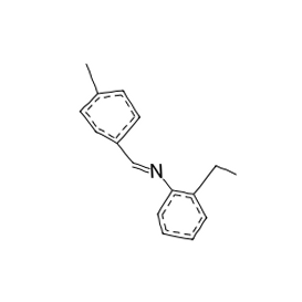 CCc1ccccc1N=Cc1ccc(C)cc1